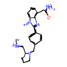 CC(C)NCC1CCCN1Cc1ccc(-c2nc3c(C(N)=O)cccc3[nH]2)cc1